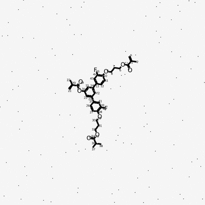 C=C(C)C(=O)OCCCOc1ccc(-c2cc(OC(=O)C(=C)C)cc(-c3ccc(OCCCOC(=O)C(C)C)c(F)c3)c2)cc1F